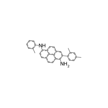 Cc1ccc(-c2cc3ccc4c(Nc5ccccc5C)ccc5ccc(c2N)c3c54)c(C)c1